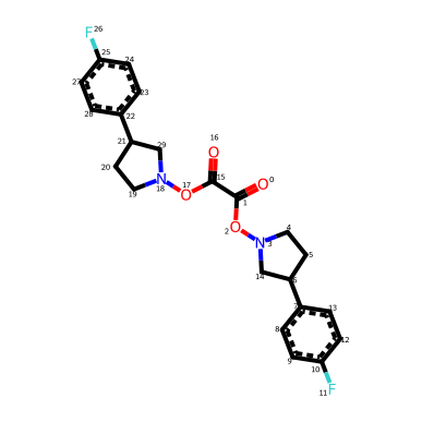 O=C(ON1CCC(c2ccc(F)cc2)C1)C(=O)ON1CCC(c2ccc(F)cc2)C1